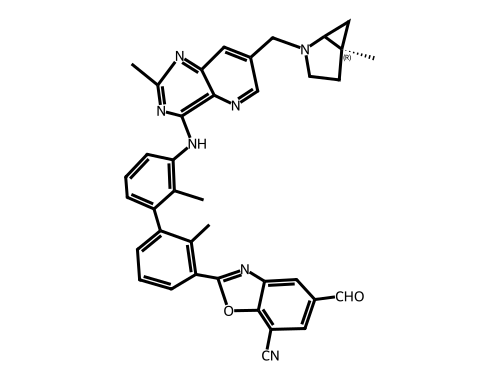 Cc1nc(Nc2cccc(-c3cccc(-c4nc5cc(C=O)cc(C#N)c5o4)c3C)c2C)c2ncc(CN3CC[C@]4(C)CC34)cc2n1